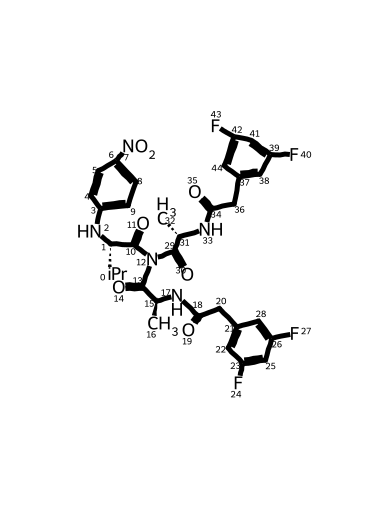 CC(C)[C@H](Nc1ccc([N+](=O)[O-])cc1)C(=O)N(C(=O)[C@H](C)NC(=O)Cc1cc(F)cc(F)c1)C(=O)[C@H](C)NC(=O)Cc1cc(F)cc(F)c1